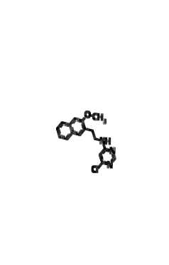 COc1cc2ccccc2cc1CCNc1cc(Cl)ncn1